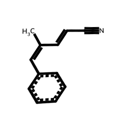 CC(C=CC#N)=Cc1ccccc1